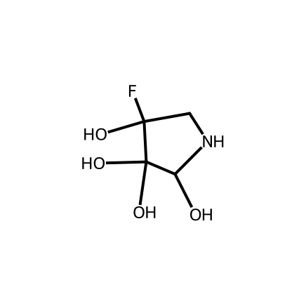 OC1NCC(O)(F)C1(O)O